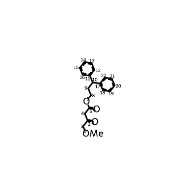 COCC(=O)CC(=O)OCCC(c1ccccc1)c1ccccc1